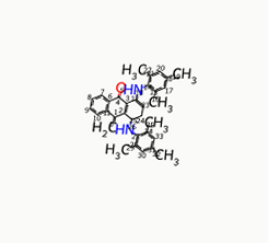 C=C1C2=C(C(=O)c3ccccc31)C(Nc1c(C)cc(C)cc1C)=CCC2Nc1c(C)cc(C)cc1C